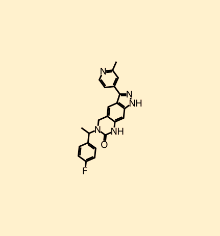 Cc1cc(-c2n[nH]c3cc4c(cc23)CN(C(C)c2ccc(F)cc2)C(=O)N4)ccn1